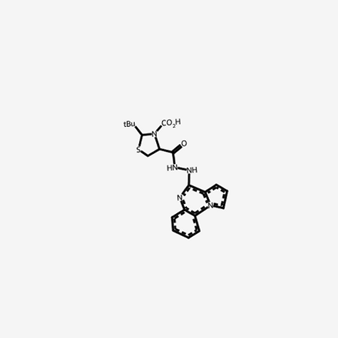 CC(C)(C)C1SCC(C(=O)NNc2nc3ccccc3n3cccc23)N1C(=O)O